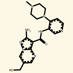 CN1CCN(c2ccncc2NC(=O)c2c(N)nn3cc(CC#N)cnc23)CC1